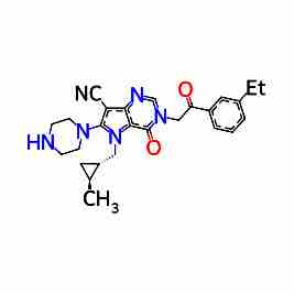 CCc1cccc(C(=O)Cn2cnc3c(C#N)c(N4CCNCC4)n(C[C@H]4C[C@@H]4C)c3c2=O)c1